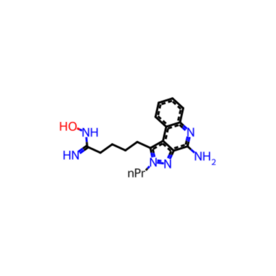 CCCn1nc2c(N)nc3ccccc3c2c1CCCCC(=N)NO